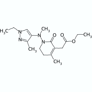 CCOC(=O)CC1=C(C)CCN(N(C)c2cn(CC)nc2C)C1=O